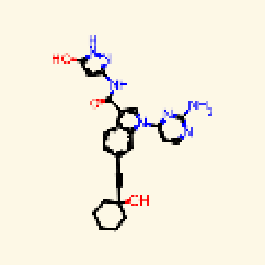 Nc1nccc(-n2cc(C(=O)Nc3cc(O)[nH]n3)c3ccc(C#CC4(O)CCCCC4)cc32)n1